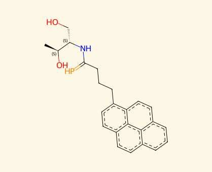 C[C@H](O)[C@H](CO)NC(=P)CCCc1ccc2ccc3cccc4ccc1c2c34